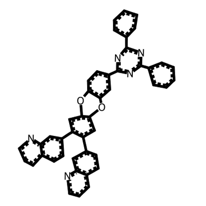 c1ccc(-c2nc(-c3ccccc3)nc(-c3ccc4c(c3)Oc3cc(-c5ccc6cccnc6c5)c(-c5ccc6cccnc6c5)cc3O4)n2)cc1